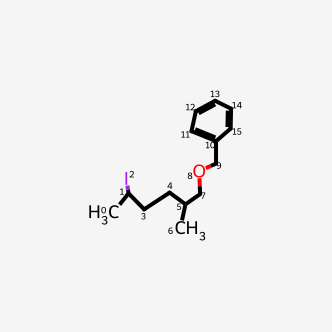 CC(I)CCC(C)COCc1ccccc1